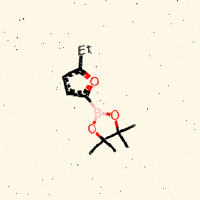 CCc1ccc(B2OC(C)(C)C(C)(C)O2)o1